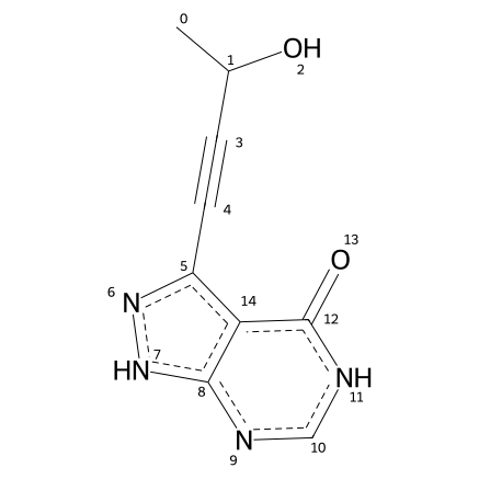 CC(O)C#Cc1n[nH]c2nc[nH]c(=O)c12